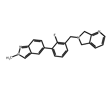 Cn1cc2cc(-c3cccc(CN4Cc5cccnc5C4)c3F)ccc2n1